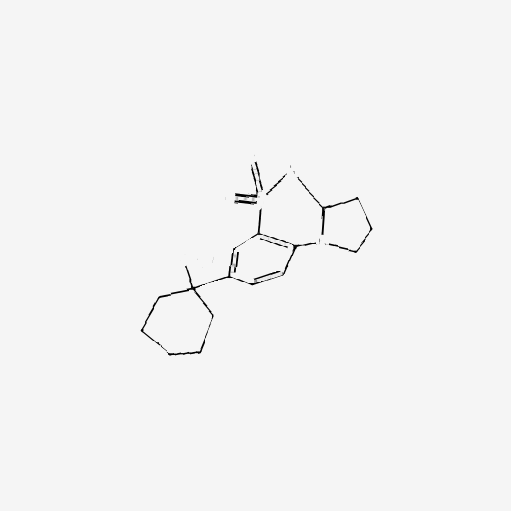 O=C(O)C1(c2ccc3c(c2)S(=O)(=O)NC2CCCN32)CCCCC1